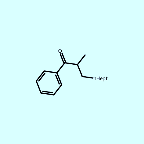 CCCCCCCCC(C)C(=O)c1cc[c]cc1